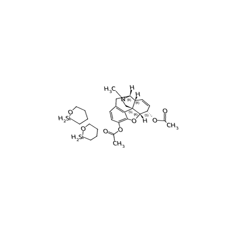 C1CC[SiH2]OC1.C1CC[SiH2]OC1.CC(=O)Oc1ccc2c3c1O[C@H]1[C@@H](OC(C)=O)C=C[C@H]4[C@@H](C2)N(C)CC[C@@]341